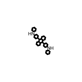 c1ccc(Nc2ccc(-c3c4ccccc4c(-c4ccc(Nc5ccccc5)cc4)c4ccccc34)cc2)cc1